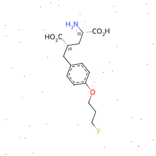 N[C@@H](C[C@H](Cc1ccc(OCCCF)cc1)C(=O)O)C(=O)O